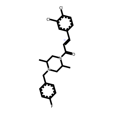 CC1CN(C(=O)/C=C/c2ccc(Cl)c(Cl)c2)C(C)CN1Cc1ccc(F)cc1